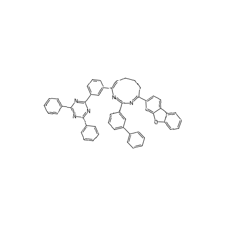 C1=C(c2cccc(-c3nc(-c4ccccc4)nc(-c4ccccc4)n3)c2)/N=C(c2cccc(-c3ccccc3)c2)\N=C(\c2ccc3c(c2)oc2ccccc23)CCC\1